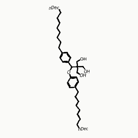 CCCCCCCCCCCCCCCCCCc1ccc(OC(c2ccc(CCCCCCCCCCCCCCCCCC)cc2)C(CO)(CO)CO)cc1